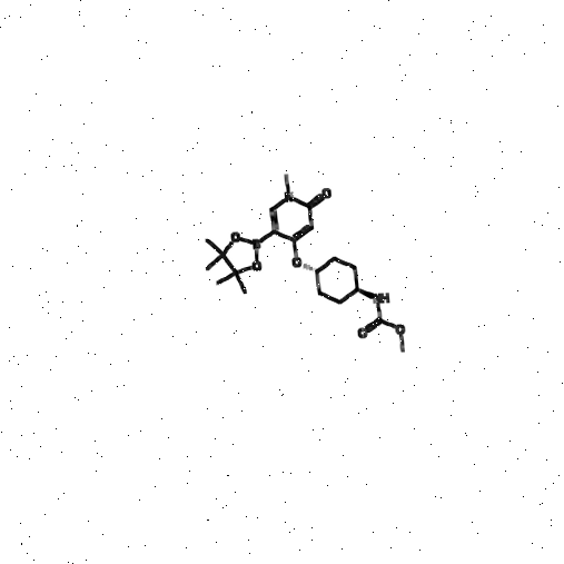 COC(=O)N[C@H]1CC[C@H](Oc2cc(=O)n(C)cc2B2OC(C)(C)C(C)(C)O2)CC1